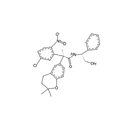 CC1(C)CCc2cc([C@](C)(C(=O)N[C@@H](CO)c3ccccc3)c3cc(Cl)ccc3[N+](=O)[O-])ccc2O1